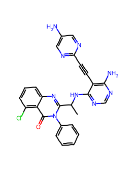 CC(Nc1ncnc(N)c1C#Cc1ncc(N)cn1)c1nc2cccc(Cl)c2c(=O)n1-c1ccccc1